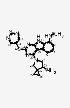 CNc1cccc2c1[nH]c1nc(Sc3cncnc3)nc(N3CC(N)C4(CC4)C3)c12